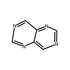 c1ncc2ncncc2n1